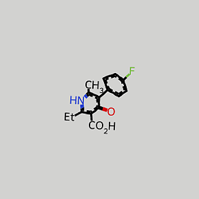 CCc1[nH]c(C)c(-c2ccc(F)cc2)c(=O)c1C(=O)O